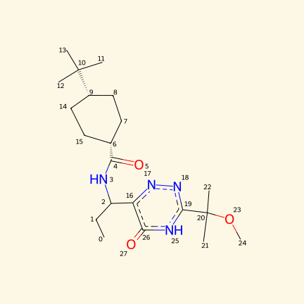 CCC(NC(=O)[C@H]1CC[C@@H](C(C)(C)C)CC1)c1nnc(C(C)(C)OC)[nH]c1=O